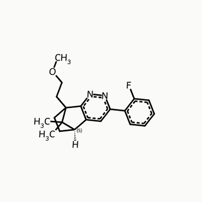 COCCC12CC[C@H](c3cc(-c4ccccc4F)nnc31)C2(C)C